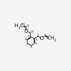 C=COCC1=CCCC=C1COC=C